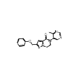 Cc1ncncc1N1CCn2nc(COc3ccccc3)cc2C1=O